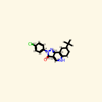 CC(C)(C)C1CCc2[nH]cc3c(=O)n(-c4ccc(Cl)cc4)nc-3c2C1